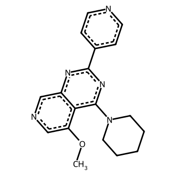 COc1cncc2nc(-c3ccncc3)nc(N3CCCCC3)c12